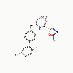 CCOC(=O)CC(Cc1ccc(-c2cc(Cl)ccc2F)cc1)NC(=O)c1cnc(CC)o1